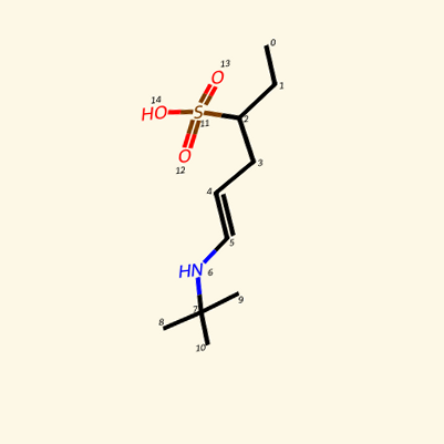 CCC(CC=CNC(C)(C)C)S(=O)(=O)O